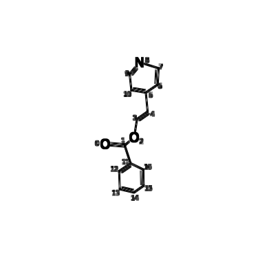 O=C(O/C=C/c1ccncc1)c1ccccc1